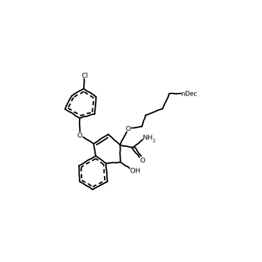 CCCCCCCCCCCCCCOC1(C(N)=O)C=C(Oc2ccc(Cl)cc2)c2ccccc2C1O